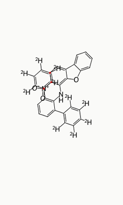 [2H]c1c([2H])c([2H])c(-c2cccc(-c3c([2H])c([2H])c([2H])c([2H])c3[2H])c2Nc2c([N+](=O)[O-])ccc3c2oc2ccccc23)c([2H])c1[2H]